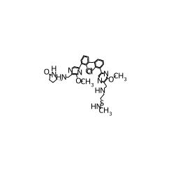 CNSCCNCc1ncc(-c2cccc(-c3cccc(-c4cnc(CNC[C@@H]5CCC(=O)N5)c(OC)n4)c3Cl)c2Cl)nc1OC